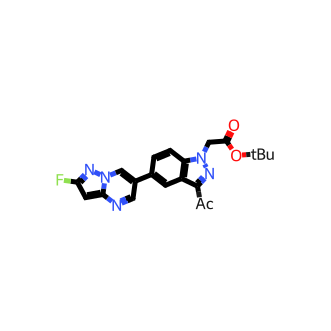 CC(=O)c1nn(CC(=O)OC(C)(C)C)c2ccc(-c3cnc4cc(F)nn4c3)cc12